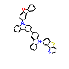 c1ccc2c(c1)oc1ccc(-n3c4ccccc4c4cc(-c5ccc6c(c5)c5ccccc5n6-c5ccc6sc7cccnc7c6c5)ccc43)cc12